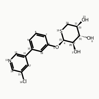 O[C@@H]1[C@@H](O)[C@@H](Oc2cccc(-c3cncc(Cl)c3)c2)SC[C@H]1O